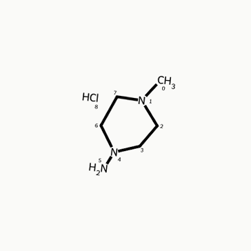 CN1CCN(N)CC1.Cl